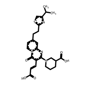 CC(C)c1csc(CCc2ccn3c(=O)c(C=CC(=O)O)c(N4CCCC(C(=O)O)C4)nc3c2)n1